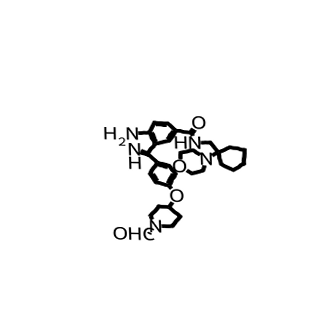 N=C(c1ccc(OC2CCN(C=O)CC2)cc1)c1cc(C(=O)NCC2(N3CCOCC3)CCCCC2)ccc1N